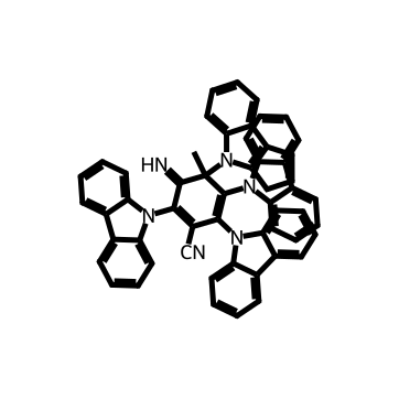 CC1(n2c3c(c4ccccc42)C=CC3)C(=N)C(n2c3ccccc3c3ccccc32)=C(C#N)C(n2c3ccccc3c3ccccc32)=C1n1c2ccccc2c2ccccc21